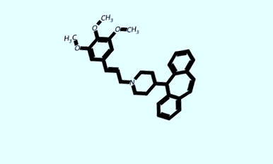 COc1cc(/C=C/CN2CCC(C3c4ccccc4C=Cc4ccccc43)CC2)cc(OC)c1OC